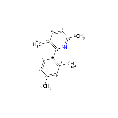 Cc1ccc(-c2nc(C)ccc2C)c(C)c1